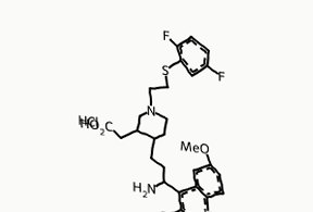 COc1ccc2ncc(F)c(C(N)CCC3CCN(CCSc4cc(F)ccc4F)CC3CC(=O)O)c2c1.Cl